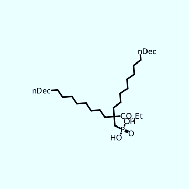 CCCCCCCCCCCCCCCCCCC(CCCCCCCCCCCCCCCCCC)(CP(=O)(O)O)C(=O)OCC